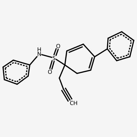 C#CCC1(S(=O)(=O)Nc2ccccc2)C=CC(c2ccccc2)=CC1